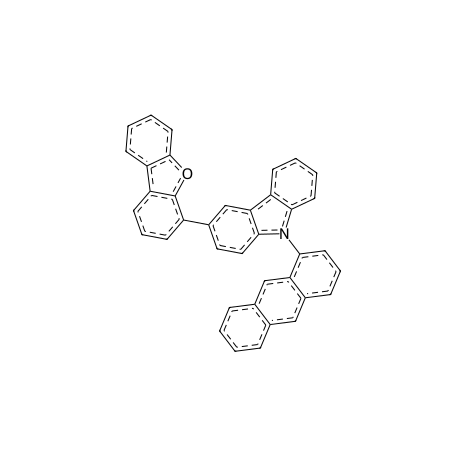 c1ccc2cc3c(-n4c5ccccc5c5cc(-c6cccc7c6oc6ccccc67)ccc54)cccc3cc2c1